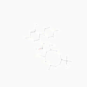 CCCCCC1NCC(C(C)(C)C#N)CCC(C)NC(N)C1C(=O)NC1CN(C)C=C(F)C1N1CCN(C)CC1